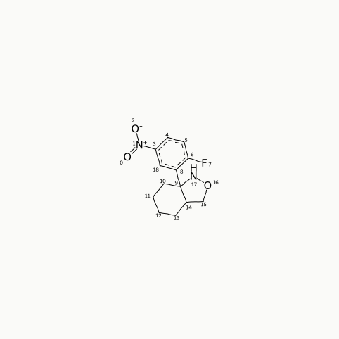 O=[N+]([O-])c1ccc(F)c(C23CCCCC2CON3)c1